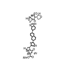 COC(=O)N[C@H](C(=O)N1[C@@H]2C[C@H]2C[C@H]1c1nc(-c2ccc3cc(-c4ccc5[nH]c([C@@H]6C[C@H]7C[C@H]7N6C(=O)[C@@H](NC(=O)O)C6CCOCC6)nc5c4)ccc3c2)c[nH]1)C(C)C